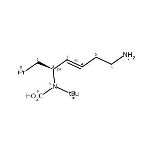 CC(C)C[C@@H](/C=C/CCN)N(C(=O)O)C(C)(C)C